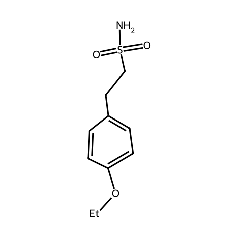 CCOc1ccc(CCS(N)(=O)=O)cc1